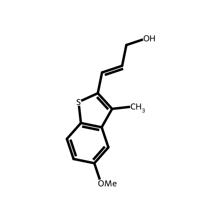 COc1ccc2sc(C=CCO)c(C)c2c1